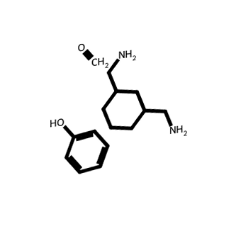 C=O.NCC1CCCC(CN)C1.Oc1ccccc1